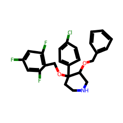 Fc1cc(F)c(COC2(c3ccc(Cl)cc3)CCNCC2OCc2ccccc2)c(F)c1